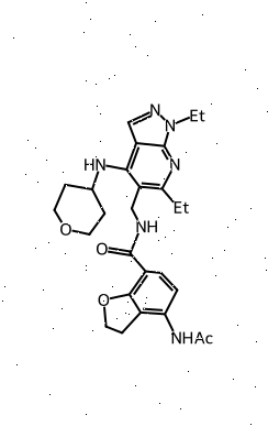 CCc1nc2c(cnn2CC)c(NC2CCOCC2)c1CNC(=O)c1ccc(NC(C)=O)c2c1OCC2